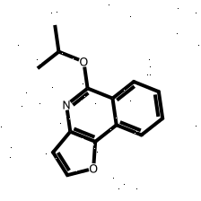 CC(C)Oc1nc2ccoc2c2ccccc12